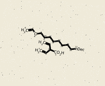 C=CC(C=C)C(=O)O.C=COCCCCCCCCCCCCCCCCCC